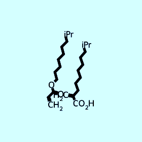 C=C(CCCCCCCC(C)C)C(=O)O.C=CC(=O)OCCCCCCCC(C)C